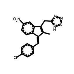 CC1=C(Cc2nnn[nH]2)c2cc([N+](=O)[O-])ccc2C1=Cc1ccc(Cl)cc1